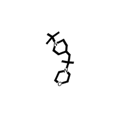 CC(C)(C)N1CCC(CC(C)(C)N2CCOCC2)CC1